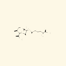 C=C1CS[C@@H]2C(NC(=O)CCCC(N)C(=O)O)C(=O)N2C1C(=O)O